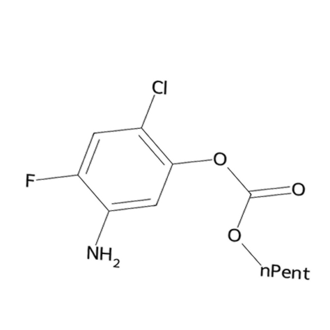 CCCCCOC(=O)Oc1cc(N)c(F)cc1Cl